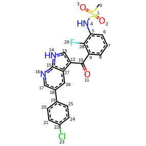 CS(=O)(=O)Nc1cccc(C(=O)c2c[nH]c3ncc(-c4ccc(Cl)cc4)cc23)c1F